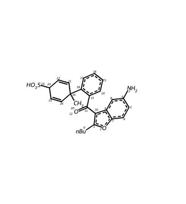 CCCCc1oc2ccc(N)cc2c1C(=O)c1ccccc1C1(C)C=CC(S(=O)(=O)O)C=C1